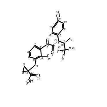 C[C@H]([C@H](C(=O)Nc1cccc(CC2(C(=O)O)CC2)c1F)c1ccc(Cl)cc1)C(F)(F)F